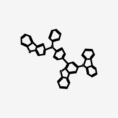 c1ccc(N(c2ccc(-c3cc(-n4c5ccccc5c5ccccc54)cc4c3sc3ccccc34)cc2)c2ccc3sc4ccccc4c3c2)cc1